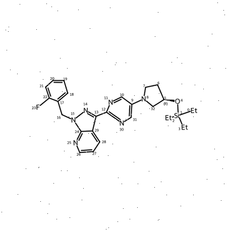 CC[Si](CC)(CC)O[C@@H]1CCN(c2cnc(-c3nn(Cc4ccccc4F)c4ncccc34)nc2)C1